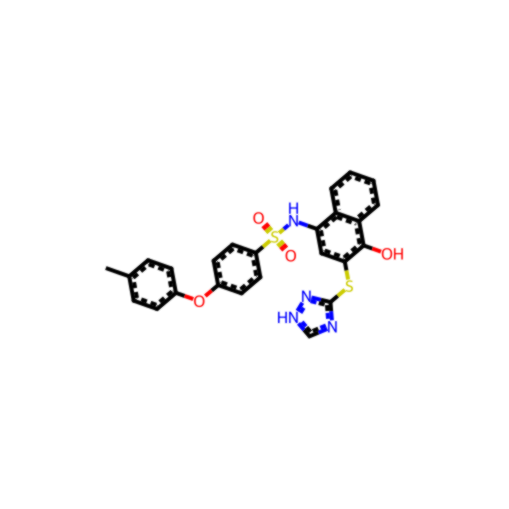 Cc1ccc(Oc2ccc(S(=O)(=O)Nc3cc(Sc4nc[nH]n4)c(O)c4ccccc34)cc2)cc1